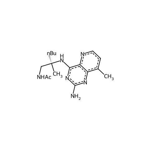 CCCC[C@](C)(CNC(C)=O)Nc1nc(N)nc2c(C)ccnc12